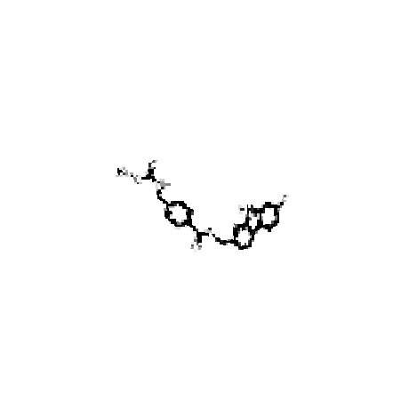 CC(C)(C)OC(=O)NCc1ccc(C(=O)NCc2ccc3c(c2)[nH]c2cc(F)ccc23)cc1